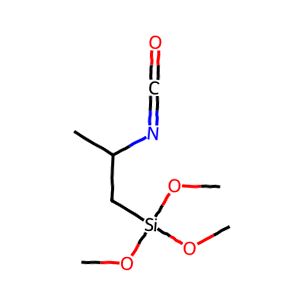 CO[Si](CC(C)N=C=O)(OC)OC